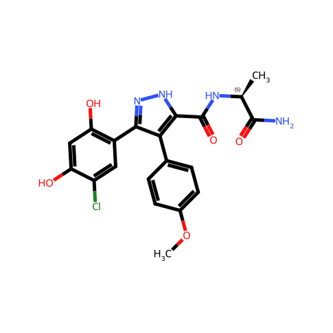 COc1ccc(-c2c(-c3cc(Cl)c(O)cc3O)n[nH]c2C(=O)N[C@@H](C)C(N)=O)cc1